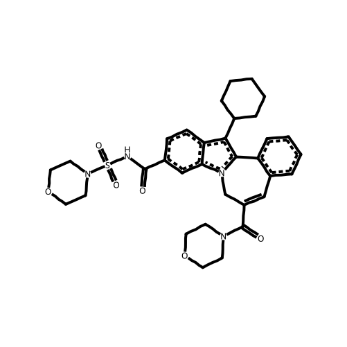 O=C(NS(=O)(=O)N1CCOCC1)c1ccc2c(C3CCCCC3)c3n(c2c1)CC(C(=O)N1CCOCC1)=Cc1ccccc1-3